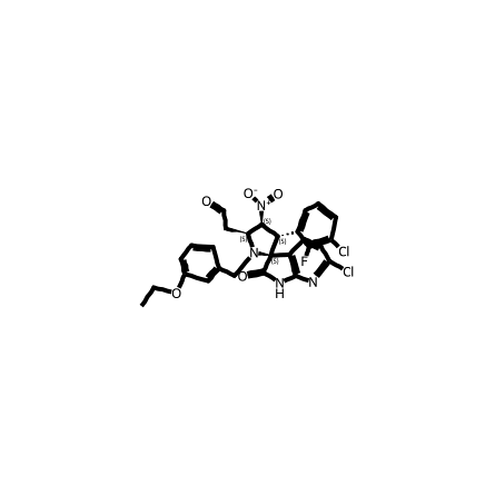 CCOc1cccc(CN2[C@@H](CC=O)[C@@H]([N+](=O)[O-])[C@H](c3cccc(Cl)c3F)[C@]23C(=O)Nc2nc(Cl)ccc23)c1